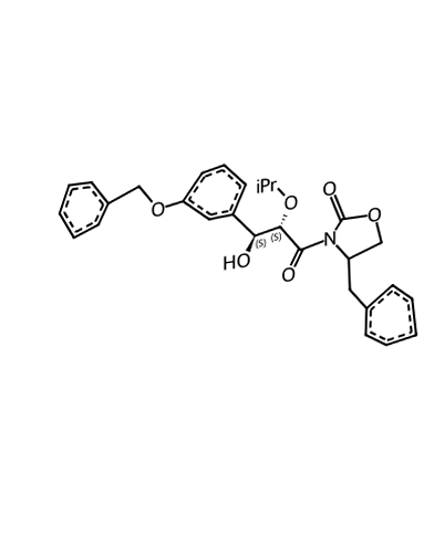 CC(C)O[C@H](C(=O)N1C(=O)OCC1Cc1ccccc1)[C@@H](O)c1cccc(OCc2ccccc2)c1